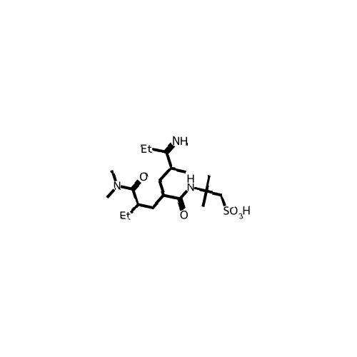 CCC(=N)C(C)CC(CC(CC)C(=O)N(C)C)C(=O)NC(C)(C)CS(=O)(=O)O